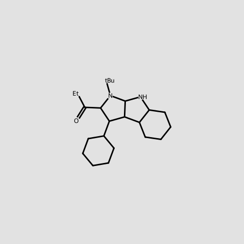 CCC(=O)C1C(C2CCCCC2)C2C3CCCCC3NC2N1C(C)(C)C